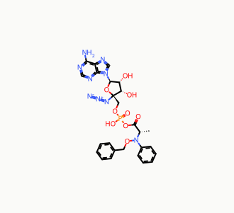 C[C@@H](C(=O)OP(=O)(O)OC[C@@]1(N=[N+]=[N-])O[C@@H](n2cnc3c(N)ncnc32)[C@H](O)[C@@H]1O)N(OCc1ccccc1)c1ccccc1